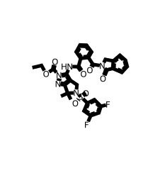 CCOC(=O)n1nc2c(c1NC(=O)c1ccccc1C(=O)N1Cc3ccccc3C1=O)CN(S(=O)(=O)c1cc(F)cc(F)c1)C2(C)C